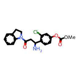 COC(=O)Oc1ccc(C(N)CC(=O)N2CCc3ccccc32)c(Cl)c1